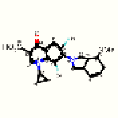 CNC1CC=CC2CN(c3c(F)cc4c(=O)c(C(=O)O)cn(C5CC5)c4c3F)CC21